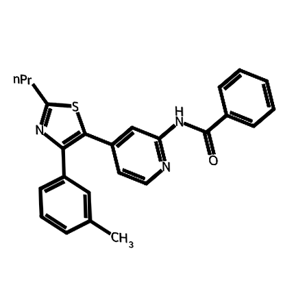 CCCc1nc(-c2cccc(C)c2)c(-c2ccnc(NC(=O)c3ccccc3)c2)s1